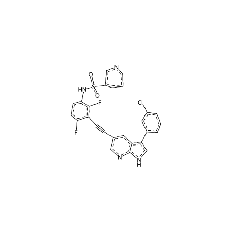 O=S(=O)(Nc1ccc(F)c(C#Cc2cnc3[nH]cc(-c4cccc(Cl)c4)c3c2)c1F)c1cccnc1